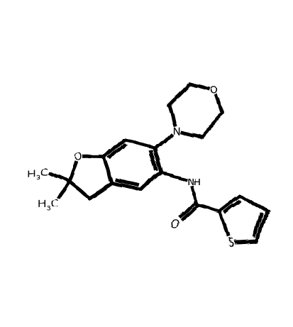 CC1(C)Cc2cc(NC(=O)c3cccs3)c(N3CCOCC3)cc2O1